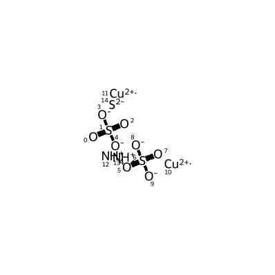 O=S(=O)([O-])[O-].O=S(=O)([O-])[O-].[Cu+2].[Cu+2].[NH4+].[NH4+].[S-2]